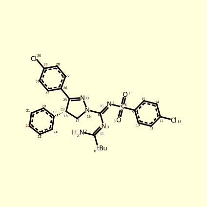 CC(C)(C)/C(N)=N/C(=N\S(=O)(=O)c1ccc(Cl)cc1)N1C[C@H](c2ccccc2)C(c2ccc(Cl)cc2)=N1